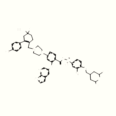 CC1CC(CNc2ccc(S(=O)(=O)NC(=O)c3ccc(N4CCN(CC5=C(c6ccc(Cl)cc6)CC(C)(C)CC5)CC4)cc3Oc3cnc4[nH]ccc4c3)cc2[N+](=O)[O-])CC(C)O1